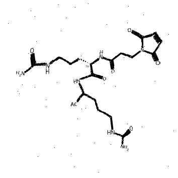 CC(=O)C(CCCNC(N)=O)NC(=O)[C@H](CCCNC(N)=O)NC(=O)CCN1C(=O)C=CC1=O